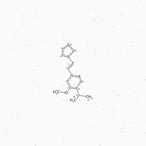 COc1cc(/C=C/c2ccsc2)ccc1C(C)C